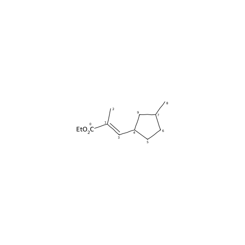 CCOC(=O)C(C)=CC1CCC(C)C1